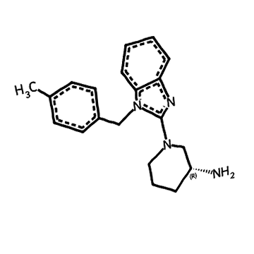 Cc1ccc(Cn2c(N3CCC[C@@H](N)C3)nc3ccccc32)cc1